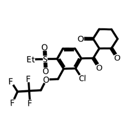 CCS(=O)(=O)c1ccc(C(=O)C2C(=O)CCCC2=O)c(Cl)c1COCC(F)(F)C(F)F